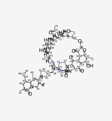 CO[C@H]1/C=C/O[C@@]2(C)Oc3c(C)c(O)c4c(c3C2=O)C(=O)C(N2CCC(N(C)C[C@@H]3CCN(c5c(F)cn6c(=O)c(C)cc(C7CC7)c6c5C)C3)CC2)=C(NC(=O)/C(C)=C\C=C\[C@H](C)[C@H](O)[C@@H](C)[C@@H](O)[C@@H](C)[C@H](OC(C)=O)[C@@H]1C)C4=O